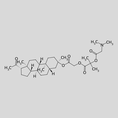 CC(=O)[C@H]1CC[C@H]2[C@@H]3CC[C@H]4C[C@](C)(OC(=O)COC(=O)C(C)(C)OC(=O)CN(C)C)CC[C@]4(C)[C@H]3CC[C@]12C